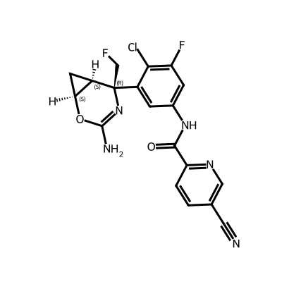 N#Cc1ccc(C(=O)Nc2cc(F)c(Cl)c([C@]3(CF)N=C(N)O[C@H]4C[C@H]43)c2)nc1